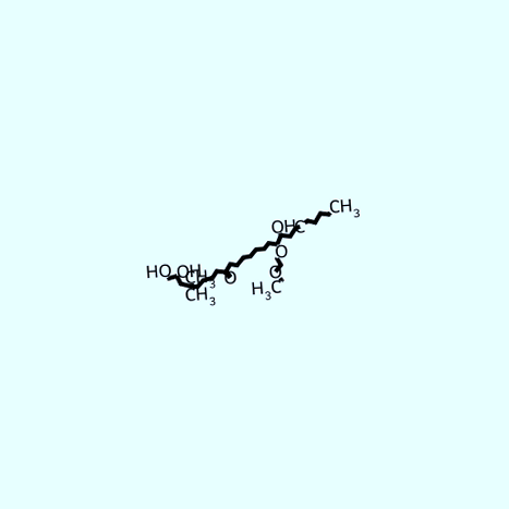 CCCCCCCCC(O)C(CCCCCCCC(=O)CCCCC(C)(C)CC(O)CO)OCCOCC